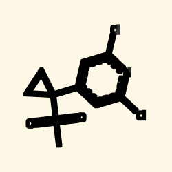 CS(=O)(=O)C1(c2cc(Cl)nc(Cl)c2)CC1